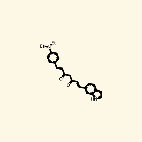 CCN(CC)c1ccc(/C=C/C(=O)CC(=O)/C=C/c2ccc3cc[nH]c3c2)cc1